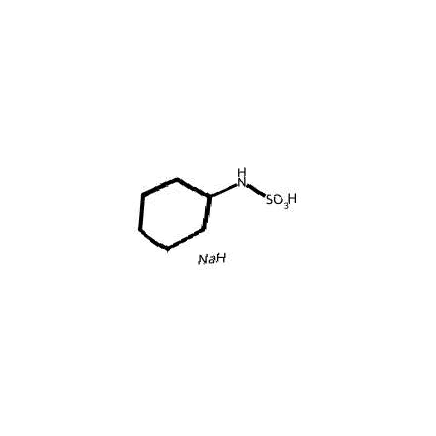 O=S(=O)(O)NC1C[CH]CCC1.[NaH]